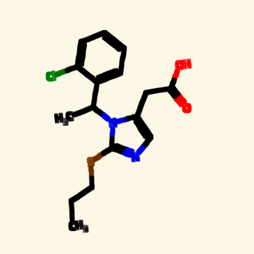 CCCSc1ncc(CC(=O)O)n1C(C)c1ccccc1Cl